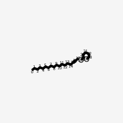 CCCCCCCCCCCCCCCC#CCOC1CCCCO1